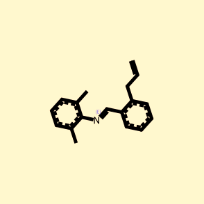 C=CCc1ccccc1/C=N/c1c(C)cccc1C